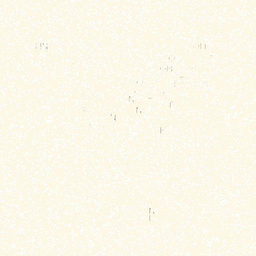 Fc1cc(C2=CCNCC2)ccc1-c1nnc(-c2ccc(C3=CCNCC3)cc2F)n1C1CC1.O=C(O)C(F)(F)F.O=C(O)C(F)(F)F